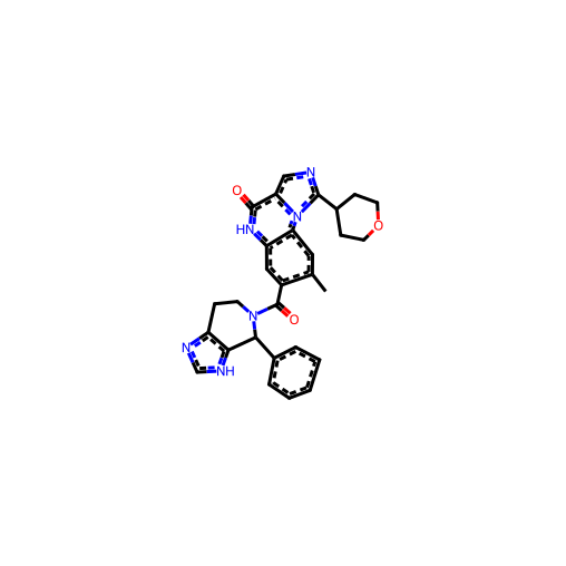 Cc1cc2c(cc1C(=O)N1CCc3nc[nH]c3C1c1ccccc1)[nH]c(=O)c1cnc(C3CCOCC3)n12